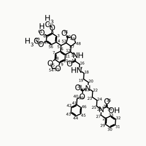 COc1cc(C2c3cc4c(cc3C(NC(=O)CNCCCN(CCCCN(Cc3ccccc3)C(=O)O)C(=O)OCc3ccccc3)C3COC(=O)C23)OCO4)cc(OC)c1O